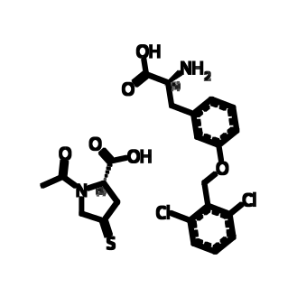 CC(=O)N1CC(=S)C[C@H]1C(=O)O.N[C@@H](Cc1cccc(OCc2c(Cl)cccc2Cl)c1)C(=O)O